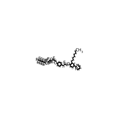 CCCCCCCCc1cc(-c2ncccn2)ccc1OCC(F)Cc1ccc(OCC(F)(F)OC(F)(F)C(F)(F)OC(F)(F)C(F)(F)C(F)(F)C(F)(F)F)cc1